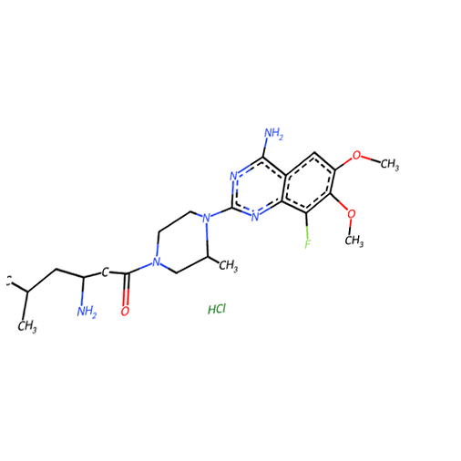 COc1cc2c(N)nc(N3CCN(C(=O)CC(N)CC(C)C)CC3C)nc2c(F)c1OC.Cl